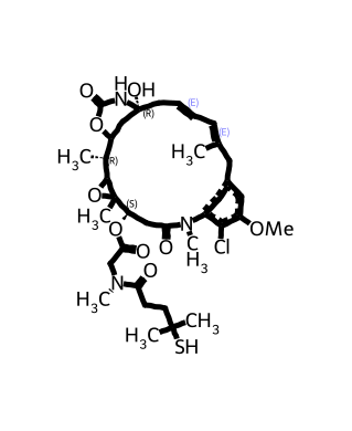 COc1cc2cc(c1Cl)N(C)C(=O)C[C@H](OC(=O)CN(C)C(=O)CCC(C)(C)S)C1(C)OC1[C@H](C)C1C[C@](O)(C/C=C/C=C(\C)C2)NC(=O)O1